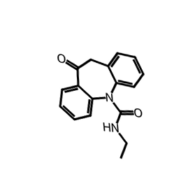 CCNC(=O)N1c2ccccc2CC(=O)c2ccccc21